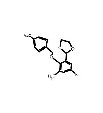 COc1ccc(COc2c(C)cc(Br)cc2C2OCCO2)cc1